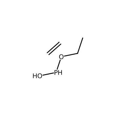 C=C.CCOPO